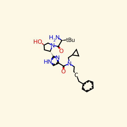 CC(C)(C)[C@H](N)C(=O)N1C[C@H](O)C[C@H]1c1nc(C(=O)N(CCCCc2ccccc2)CC2CC2)c[nH]1